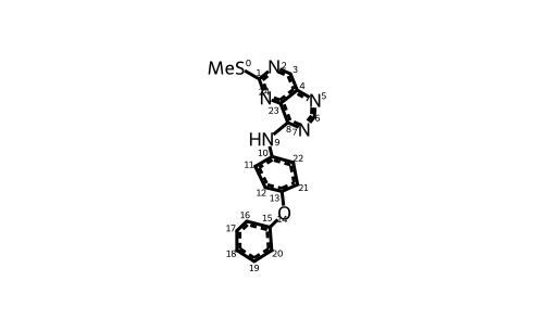 CSc1ncc2ncnc(Nc3ccc(Oc4ccccc4)cc3)c2n1